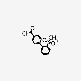 CS(=O)(=O)c1ccccc1-c1ccc(C(=O)Cl)cc1